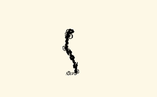 CC(C)COC(=O)/C=C/c1ccc(C#Cc2ccc(N3CCN(C(=O)CCCCCCC(=O)OC4CCCCO4)CC3)cc2)nc1